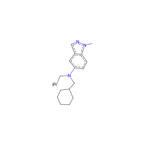 CC(C)CN(CC1CCCCC1)c1ccc2c(cnn2C)c1